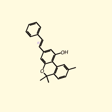 Cc1ccc2c(c1)-c1c(O)cc(/C=C/c3ccccc3)cc1OC2(C)C